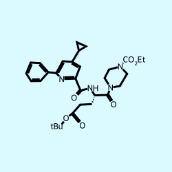 CCOC(=O)N1CCN(C(=O)[C@H](CCC(=O)OC(C)(C)C)NC(=O)c2cc(C3CC3)cc(-c3ccccc3)n2)CC1